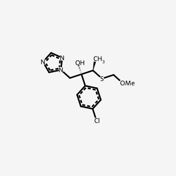 COCS[C@H](C)[C@](O)(Cn1cncn1)c1ccc(Cl)cc1